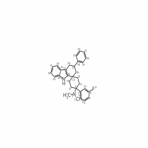 CN(C)C1(c2cccc(F)c2)CCC2(CC1)CC(c1ccccc1)Cc1c2[nH]c2ccccc12